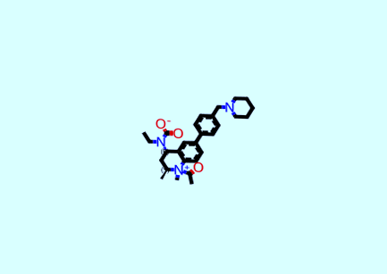 CCN(C(=O)[O-])[C@@H]1C[C@H](C)[N+](C)(C(C)=O)c2ccc(-c3ccc(CN4CCCCC4)cc3)cc21